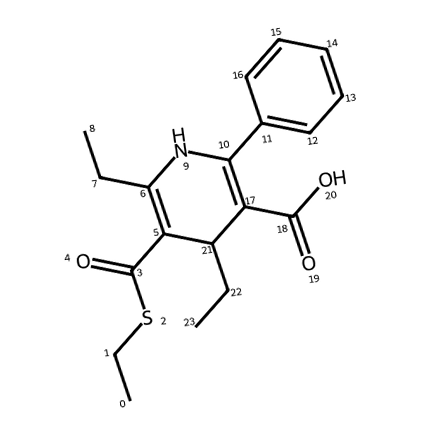 CCSC(=O)C1=C(CC)NC(c2ccccc2)=C(C(=O)O)C1CC